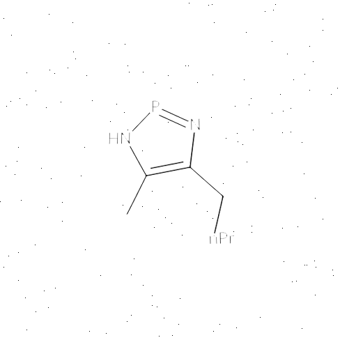 CCCCc1np[nH]c1C